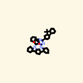 CC1(C)c2ccccc2-c2ccc(-c3nc(-c4ccccc4)nc(-n4c5ccccc5c5ccc6c7ccccc7n(-c7ccccc7)c6c54)n3)cc21